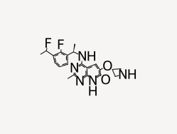 Cc1nc(N[C@H](C)c2cccc(C(C)F)c2F)c2cc(OC3CNC3)c(=O)[nH]c2n1